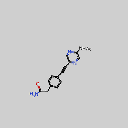 CC(=O)Nc1cnc(C#Cc2ccc(CC(N)=O)cc2)cn1